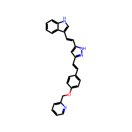 C(=C\c1cc(/C=C/c2c[nH]c3ccccc23)[nH]n1)/c1ccc(OCc2ccccn2)cc1